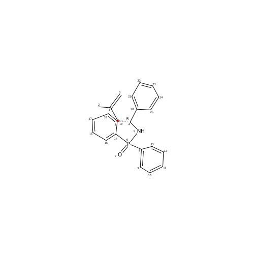 C=C(C)C[C@@H](NP(=O)(c1ccccc1)c1ccccc1)c1ccccc1